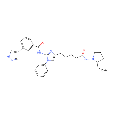 COCC1CCCN1NC(=O)CCCCc1cn(-c2ccccc2)c(NC(=O)c2cccc(-c3cn[nH]c3)c2)n1